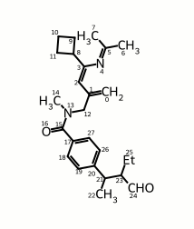 C=C(/C=C(\N=C(C)C)C1CCC1)CN(C)C(=O)c1ccc(C(C)C(C=O)CC)cc1